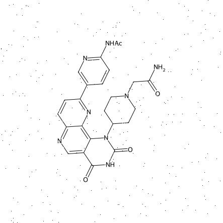 CC(=O)Nc1ccc(-c2ccc3ncc4c(=O)[nH]c(=O)n(C5CCN(CC(N)=O)CC5)c4c3n2)cn1